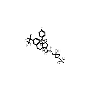 CC(F)(c1ccc2c(c1)CC[C@H]1[C@H](C(=O)NCC3(O)CN(S(C)(=O)=O)C3)CC[C@@]21S(=O)(=O)c1ccc(F)cc1)C(F)(F)F